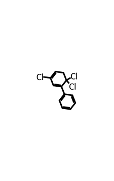 ClC1=CCC(Cl)(Cl)C(c2ccccc2)=C1